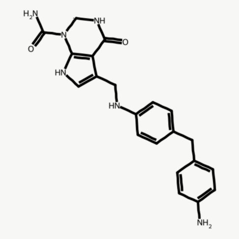 NC(=O)N1[CH]NC(=O)c2c(CNc3ccc(Cc4ccc(N)cc4)cc3)c[nH]c21